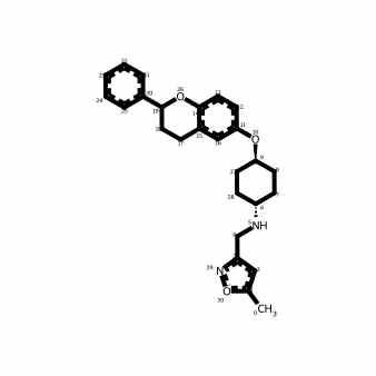 Cc1cc(CN[C@H]2CC[C@H](Oc3ccc4c(c3)CCC(c3ccccc3)O4)CC2)no1